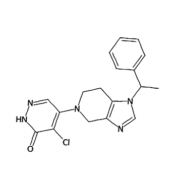 CC(c1ccccc1)n1cnc2c1CCN(c1cn[nH]c(=O)c1Cl)C2